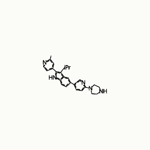 Cc1cc(-c2[nH]c3ccc(-c4ccc(N5CCNCC5)nc4)cc3c2C(C)C)ccn1